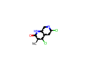 N#Cc1c(Cl)c2cc(Cl)ncc2[nH]c1=O